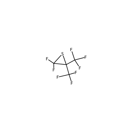 FC(F)(F)C1(C(F)(F)F)SC1(F)F